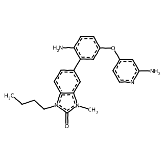 CCCCn1c(=O)n(C)c2cc(-c3cc(Oc4ccnc(N)c4)ccc3N)ccc21